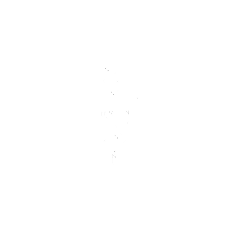 CCN(CCN1CCNCC1)C(N)CNCCN